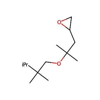 CC(C)C(C)(C)COC(C)(C)CC1CO1